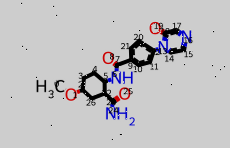 COC1CCC(NC(=O)c2ccc(-n3ccncc3=O)cc2)C(C(N)=O)C1